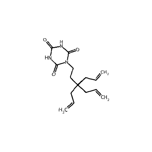 C=CCC(CC=C)(CC=C)CCn1c(=O)[nH]c(=O)[nH]c1=O